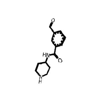 O=Cc1cccc(C(=O)NC2CCNCC2)c1